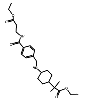 CCOC(=O)CCNC(=O)c1ccc(CNC2CCC(C(C)(C)C(=O)OCC)CC2)cc1